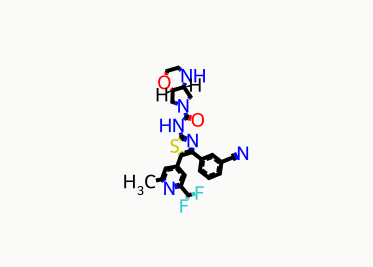 Cc1cc(-c2sc(NC(=O)N3C[C@@H]4NCCO[C@@H]4C3)nc2-c2cccc(C#N)c2)cc(C(F)F)n1